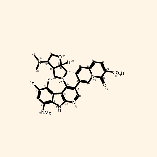 CNc1cc(F)c(F)c2c1[nH]c1ncc(-c3ccc4ccc(C(=O)O)c(=O)n4c3)c(N3CC4C(N(C)C)CO[C@@H]4C3)c12